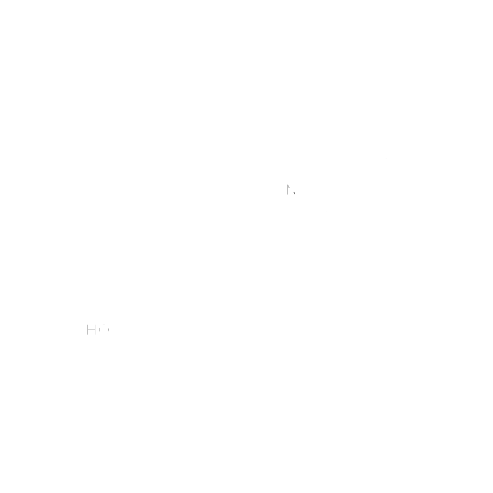 Oc1ccc(-c2ccc(C3CC3)nc2)cc1